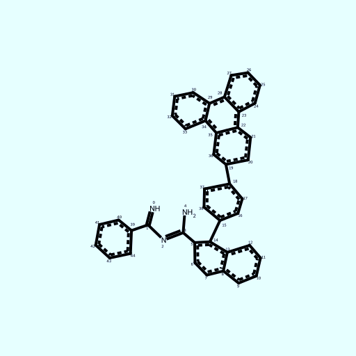 N=C(/N=C(\N)c1ccc2ccccc2c1-c1ccc(-c2ccc3c4ccccc4c4ccccc4c3c2)cc1)c1ccccc1